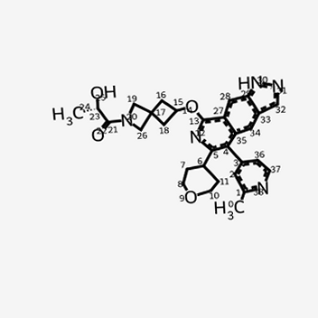 Cc1cc(-c2c(C3CCOCC3)nc(OC3CC4(C3)CN(C(=O)[C@H](C)O)C4)c3cc4[nH]ncc4cc23)ccn1